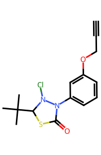 C#CCOc1cccc(N2C(=O)SC(C(C)(C)C)N2Cl)c1